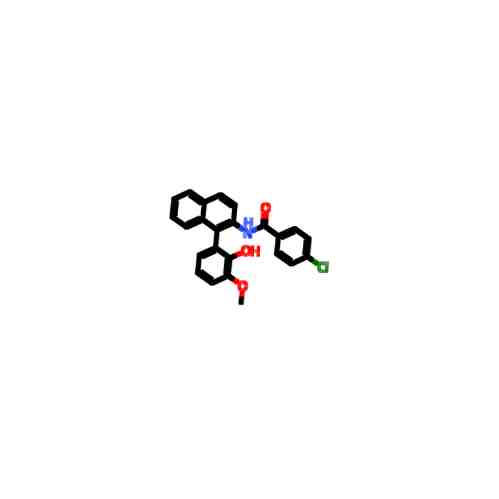 COc1cccc(-c2c(NC(=O)c3ccc(Cl)cc3)ccc3ccccc23)c1O